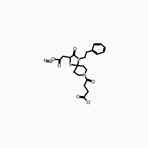 O=C([O-])CCC(=O)N1CCC2(CC1)SC(CC(=O)[O-])C(=O)N2CCc1ccccc1.[Na+].[Na+]